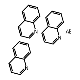 [Al].c1ccc2ncccc2c1.c1ccc2ncccc2c1.c1ccc2ncccc2c1